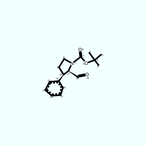 CC(C)(C)OC(=O)N1CC[C@H](c2ccccc2)[C@@H]1C=O